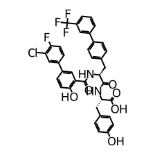 O=C(N[C@@H](Cc1ccc(-c2cccc(C(F)(F)F)c2)cc1)C(=O)N[C@@H](Cc1ccc(O)cc1)C(=O)O)c1cc(-c2ccc(F)c(Cl)c2)ccc1O